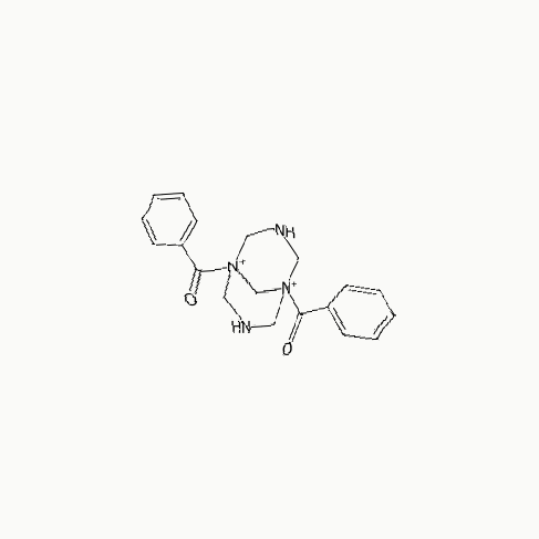 O=C(c1ccccc1)[N+]12CNC[N+](C(=O)c3ccccc3)(CNC1)C2